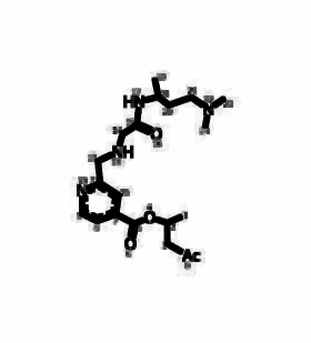 CC(=O)CC(C)OC(=O)c1ccnc(CNCC(=O)NC(C)CCN(C)C)c1